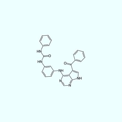 O=C(Nc1ccccc1)Nc1cccc(Nc2ncnc3[nH]cc(C(=O)c4ccccc4)c23)c1